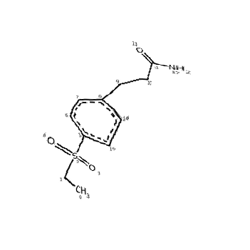 CCS(=O)(=O)c1ccc(CCC(N)=O)cc1